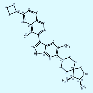 Cc1nc2c(-c3ccc4ncc(N5CCC5)nc4c3Cl)n[nH]c2nc1N1CCC2(CC1)CO[C@@H](C)[C@H]2N